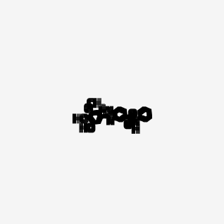 COc1cc(-c2nc3cc(S(=O)(=O)Nc4ccccc4)ccc3[nH]2)cc(O)c1O